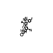 Cn1cnnc1-c1cc(F)ccc1-c1cc(C2CC2)nc(-n2cc(C#N)c3cc(CC4(O)CCCCC4)[nH]c3c2=O)c1